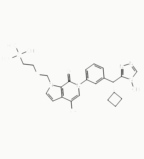 Cn1cnnc1[C@@H](c1cccc(-n2cc(C(F)(F)F)c3ccn(COCC[Si](C)(C)C)c3c2=O)c1)C1CCC1